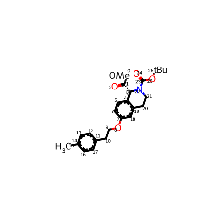 COC(=O)[C@H]1c2ccc(OCCc3ccc(C)cc3)cc2CCN1C(=O)OC(C)(C)C